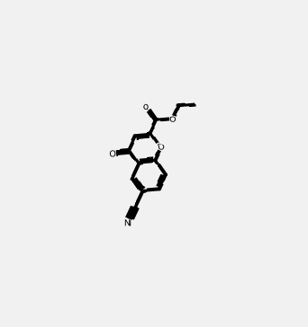 CCOC(=O)c1cc(=O)c2cc(C#N)ccc2o1